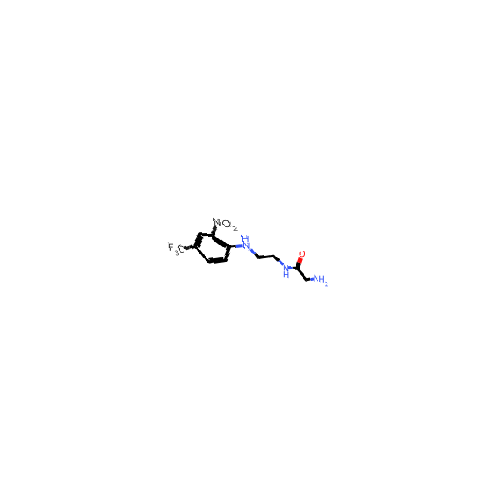 NCC(=O)NCCNc1ccc(C(F)(F)F)cc1[N+](=O)[O-]